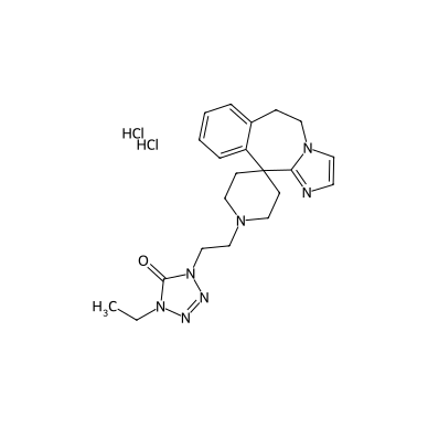 CCn1nnn(CCN2CCC3(CC2)c2ccccc2CCn2ccnc23)c1=O.Cl.Cl